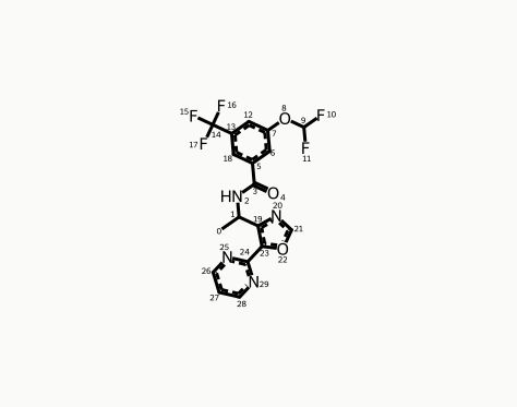 CC(NC(=O)c1cc(OC(F)F)cc(C(F)(F)F)c1)c1ncoc1-c1ncccn1